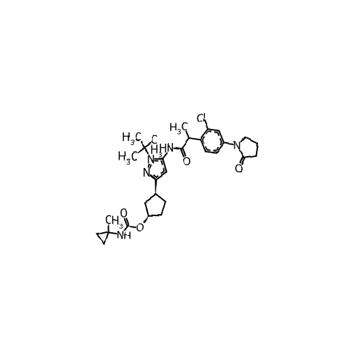 CC(C(=O)Nc1cc([C@H]2CC[C@@H](OC(=O)NC3(C)CC3)C2)nn1C(C)(C)C)c1ccc(N2CCCC2=O)cc1Cl